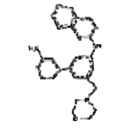 Nc1cc(-c2cc(CN3CCOCC3)cc(Nc3ncc4ccccc4n3)c2)ccn1